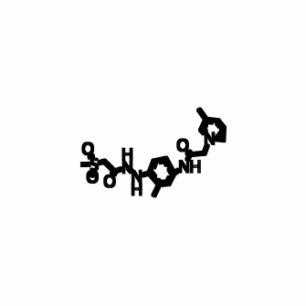 Cc1ccc[n+](CC(=O)Nc2ccc(NNC(=O)CS(C)(=O)=O)c(C)c2)c1